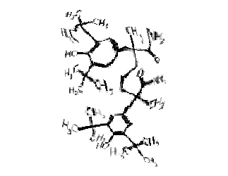 CC(C)(C)c1cc(C(C)(CCCC(C)(C(N)=O)c2cc(C(C)(C)C)c(O)c(C(C)(C)C)c2)C(N)=O)cc(C(C)(C)C)c1O